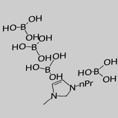 CCCN1C=CN(C)C1.OB(O)O.OB(O)O.OB(O)O.OB(O)O